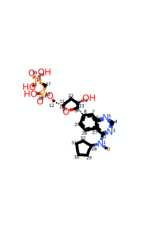 CN(c1ncnc2cc([C@@H]3O[C@H](COP(=O)(O)CP(=O)(O)O)C[C@H]3O)ccc12)C1CCCC1